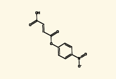 O=C(O)C=CC(=O)Oc1ccc([N+](=O)[O-])cc1